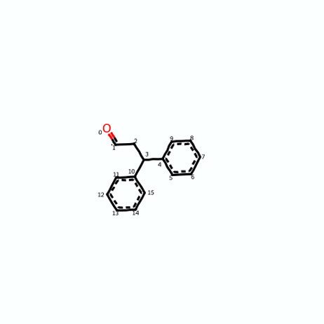 O=[C]CC(c1ccccc1)c1ccccc1